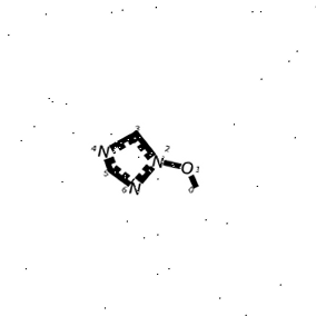 COn1cncn1